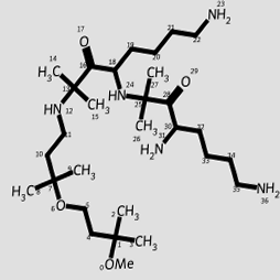 COC(C)(C)CCOC(C)(C)CCNC(C)(C)C(=O)C(CCCCN)NC(C)(C)C(=O)C(N)CCCCN